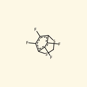 Fc1c(F)c2c(F)c(F)c1SCS2